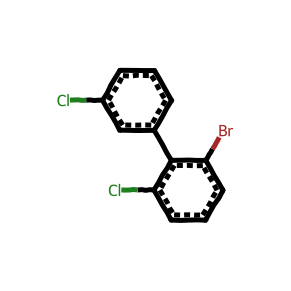 Clc1cccc(-c2c(Cl)cccc2Br)c1